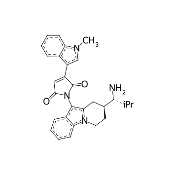 CC(C)[C@@H](N)[C@H]1CCn2c(c(N3C(=O)C=C(c4cn(C)c5ccccc45)C3=O)c3ccccc32)C1